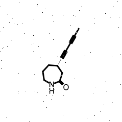 CC#CC#C[C@H]1CCCNC(=O)C1